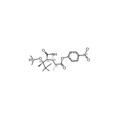 C[C@@H](C(=O)Oc1ccc([N+](=O)[O-])cc1)[C@H]1NC(=O)[C@@H]1[C@@](C)(O[SiH](C)C)C(C)(C)C